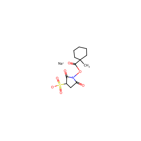 CC1(C(=O)ON2C(=O)CC(S(=O)(=O)[O-])C2=O)CCCCC1.[Na+]